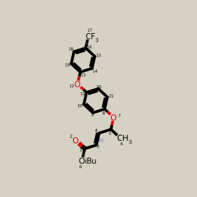 CC(C)COC(=O)/C=C/C(C)Oc1ccc(Oc2ccc(C(F)(F)F)cc2)cc1